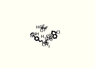 CN(CCc1ccc(C2=NCCN2)cc1)C(=O)CCN(C)S(=O)(=O)c1cccc2c(Cl)cccc12.O=C(O)C(F)(F)F